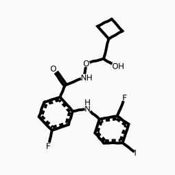 O=C(NOC(O)C1CCC1)c1ccc(F)cc1Nc1ccc(I)cc1F